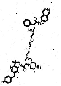 C[C@@H]1CN(CC(=O)N2CC(C)(C)c3ncc(Cc4ccc(F)cc4)cc32)[C@@H](CN(C)CCOCCOCCNC[C@@H](C(=O)Nc2ccc3cnccc3c2)c2ccccc2)CN1